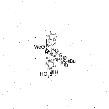 COC(=O)N[C@@H](Cc1ccccc1)C(=O)N[C@@H](Cc1ccc(NS(=O)(=O)O)cc1)c1csc(CS(=O)(=O)C(C)(C)C)n1